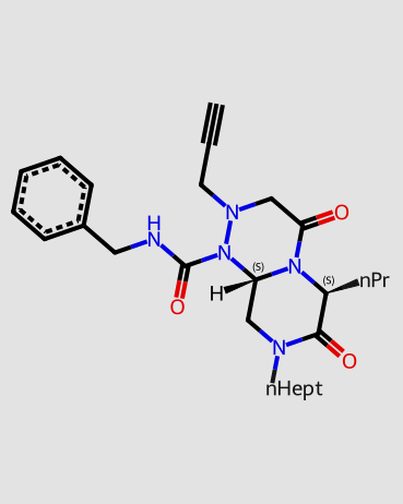 C#CCN1CC(=O)N2[C@@H](CCC)C(=O)N(CCCCCCC)C[C@@H]2N1C(=O)NCc1ccccc1